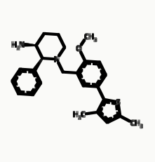 COc1ccc(-c2sc(C)cc2C)cc1CN1CCC[C@H](N)[C@@H]1c1ccccc1